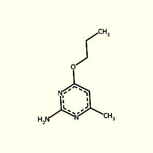 CCCOc1cc(C)nc(N)n1